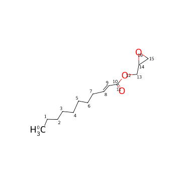 CCCCCCCCC=CC(=O)OCC1CO1